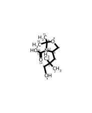 CC(C)(CO)CC1COC(C)(C)N1C(=O)O